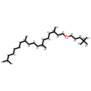 CC(C)CCCCCC(C)CCCC(C)CCCC(C)CCOCCCC(C)(C)C